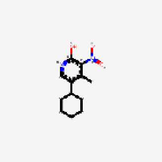 Cc1c(C2CCCCC2)cnc(O)c1[N+](=O)[O-]